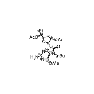 CCCCn1c(=O)n([C@@H]2O[C@H]([C@H](CC)OC(C)=O)C[C@H]2OC(C)=O)c2nc(N)nc(OC)c21